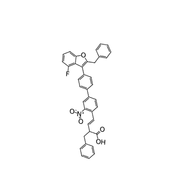 O=C(O)C(/C=C/c1ccc(-c2ccc(-c3c(Cc4ccccc4)oc4cccc(F)c34)cc2)cc1[N+](=O)[O-])Cc1ccccc1